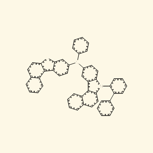 c1ccc(-c2ccccc2-n2c3ccc(N(c4ccccc4)c4ccc5c(c4)sc4ccc6ccccc6c45)cc3c3c4ccccc4ccc32)cc1